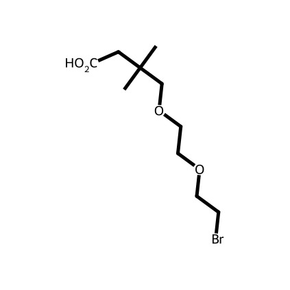 CC(C)(COCCOCCBr)CC(=O)O